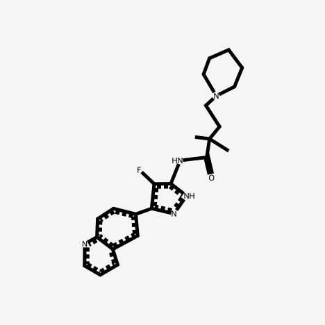 CC(C)(CCN1CCCCC1)C(=O)Nc1[nH]nc(-c2ccc3ncccc3c2)c1F